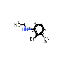 CCc1c(NCC#N)[c]ccc1C#N